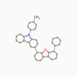 Cc1ccc(-n2c3ccccc3c3cc(-c4cccc5c4oc4c(-c6ccccc6)cccc45)ccc32)cc1